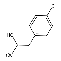 CC(C)(C)C(O)Cc1ccc(Cl)cc1